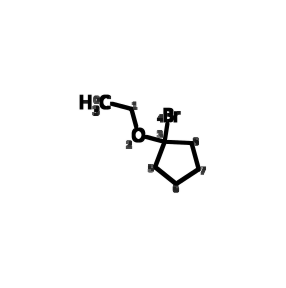 CCOC1(Br)CCCC1